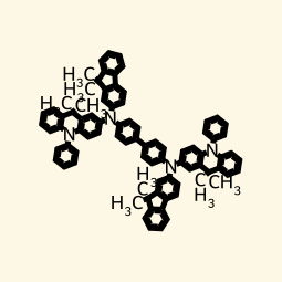 CC1(C)c2ccccc2-c2ccc(N(c3ccc(-c4ccc(N(c5ccc6c(c5)C(C)(C)c5ccccc5-6)c5ccc6c(c5)C(C)(C)c5ccccc5N6c5ccccc5)cc4)cc3)c3ccc4c(c3)C(C)(C)c3ccccc3N4c3ccccc3)cc21